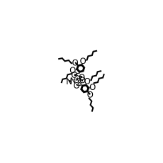 CCCCCOc1ccc(S(=O)(=O)C(=[N+]=[N-])S(=O)(=O)c2ccc(OCCCCC)c(OCCCCC)c2OCCCCC)c(OCCCCC)c1OCCCCC